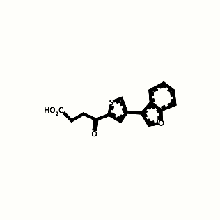 O=C(O)CCC(=O)c1cc(-c2coc3ccccc23)cs1